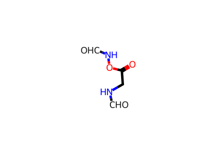 O=CNCC(=O)ONC=O